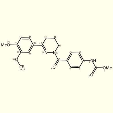 COC(=O)Nc1ccc(C(=O)N2CCCC(c3ccc(OC)c(OC(F)(F)F)c3)=N2)cc1